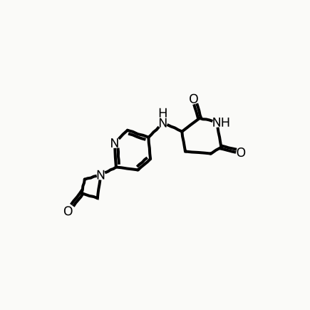 O=C1CN(c2ccc(NC3CCC(=O)NC3=O)cn2)C1